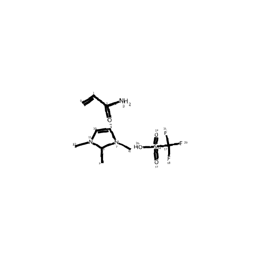 C=CC(N)=O.CC1N(C)C=CN1C.O=S(=O)(O)C(F)(F)F